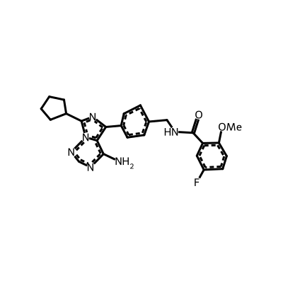 COc1ccc(F)cc1C(=O)NCc1ccc(-c2nc(C3CCCC3)n3ncnc(N)c23)cc1